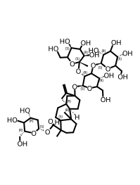 C=C1C[C@@]23CC[C@@H]4C(C)(C(=O)O[C@H]5C[C@@H](O)C(O)[C@@H](CO)O5)CCCC4(C)[C@@H]2CCC1(O[C@@H]1OC(CO)[C@@H](O)C(O[C@@H]2OC(CO)[C@@H](O)C(O)[C@H]2O)[C@H]1O[C@]1(C)OC(CO)[C@@H](O)C(O)[C@H]1O)C3